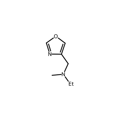 CCN(C)Cc1cocn1